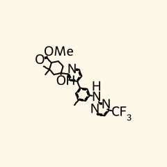 COC(=O)C1CCC(O)(c2cc(-c3cc(C)cc(Nc4nccc(C(F)(F)F)n4)c3)ccn2)CC1(C)C